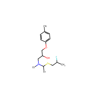 CCC(SCC(C)F)N(CC)CC(O)COc1ccc(C#N)cc1